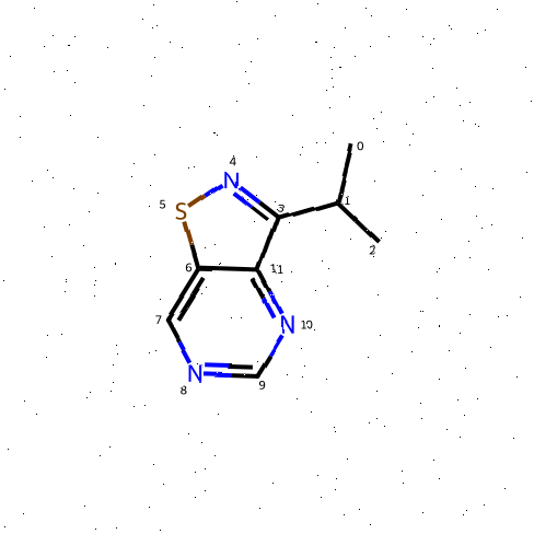 CC(C)c1nsc2cncnc12